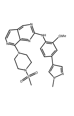 COc1cc(-c2cnn(C)c2)ccc1Nc1ncc2ccnc(N3CCN(S(C)(=O)=O)CC3)c2n1